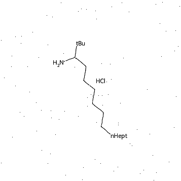 CCCCCCCCCCCCCC(N)C(C)(C)C.Cl